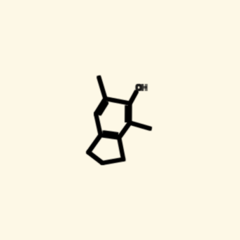 Cc1cc2c(c(C)c1O)CCC2